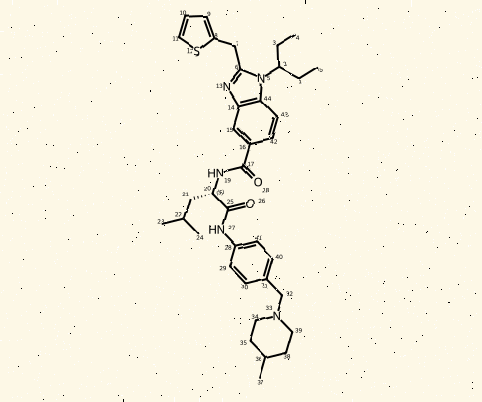 CCC(CC)n1c(Cc2cccs2)nc2cc(C(=O)N[C@@H](CC(C)C)C(=O)Nc3ccc(CN4CCC(C)CC4)cc3)ccc21